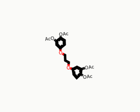 CC(=O)Oc1ccc(OCCCOc2ccc(OC(C)=O)c(OC(C)=O)c2)cc1OC(C)=O